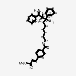 COC(=O)C=Cc1ccc(C(=O)OCCCCCCC(N)(c2ccccc2)C(C(=O)O)(C(=O)O)C(N)c2ccccc2)cc1